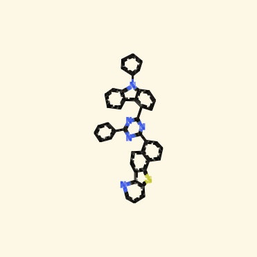 c1ccc(-c2nc(-c3cccc4c3ccc3c5ncccc5sc43)nc(-c3cccc4c3c3ccccc3n4-c3ccccc3)n2)cc1